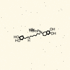 Br.Br.CCCN(CCCCCCNCCc1ccc(O)c(O)c1)[C@@H]1CCc2cc(O)c(O)cc2C1